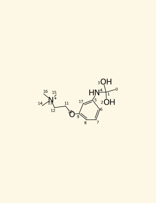 CC(O)(O)Nc1cccc(OCC[N+](C)(C)C)c1